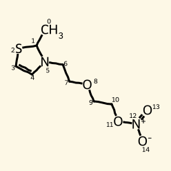 CC1SC=CN1CCOCCO[N+](=O)[O-]